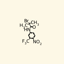 CC(C)(Br)C(=O)Nc1ccc([N+](=O)[O-])c(C(F)(F)F)c1